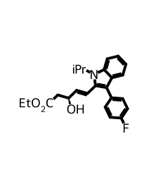 CCOC(=O)C[C@H](O)/C=C/c1c(-c2ccc(F)cc2)c2ccccc2n1C(C)C